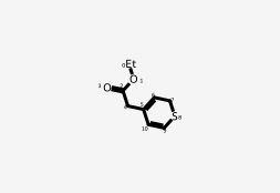 CCOC(=O)CC1=CCSC=C1